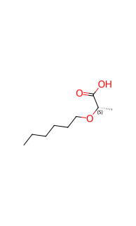 CCCCCCO[C@@H](C)C(=O)O